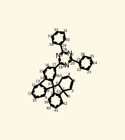 CC12C=CC=CC1C1(c3ccccc3-c3ccc(-c4nc(-c5ccccc5)nc(-c5ccccc5)n4)cc31)c1ccccc12